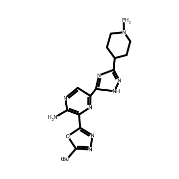 CC(C)(C)c1nnc(-c2nc(-c3nc(C4CCN(P)CC4)n[nH]3)cnc2N)o1